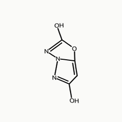 Oc1cc2oc(O)nn2n1